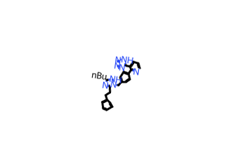 CCCCC1N=C(CCc2ccccc2)N(Cc2ccc(-c3ncccc3-c3nnn[nH]3)cc2)N1